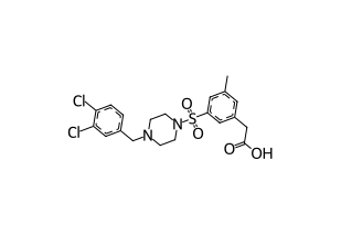 Cc1cc(CC(=O)O)cc(S(=O)(=O)N2CCN(Cc3ccc(Cl)c(Cl)c3)CC2)c1